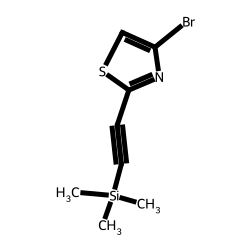 C[Si](C)(C)C#Cc1nc(Br)cs1